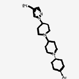 CC(=O)[C@H]1CC[C@H](N2CCC(N3CCC(n4cc(C(C)C)cn4)CC3)CC2)CC1